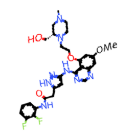 COc1cc(OCCN2CCN(C)C[C@H]2CO)c2c(Nc3cc(CC(=O)Nc4cccc(F)c4F)[nH]n3)ncnc2c1